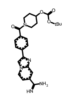 CC(C)(C)OC(=O)OC1CCN(C(=O)c2ccc(-c3cn4ccc(C(=N)N)cc4n3)cc2)CC1